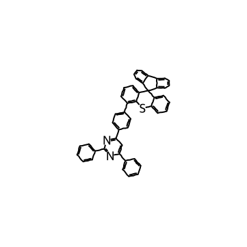 c1ccc(-c2cc(-c3ccc(-c4cccc5c4Sc4ccccc4C54c5ccccc5-c5ccccc54)cc3)nc(-c3ccccc3)n2)cc1